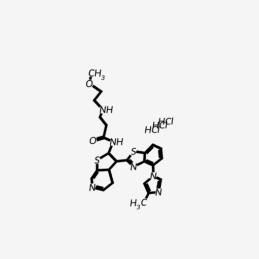 COCCNCCC(=O)NC1SC2=CN=CCC2C1c1nc2c(-n3cnc(C)c3)cccc2s1.Cl.Cl.Cl